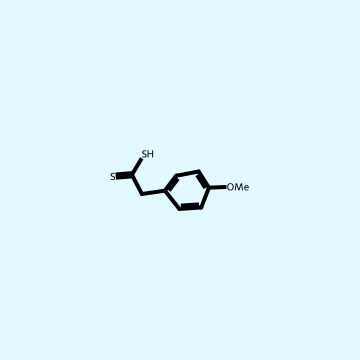 COc1ccc(CC(=S)S)cc1